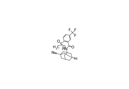 CS(=O)(=O)c1ccc(C(F)(F)F)cc1C(=O)NC12CC3C[C@H](CC(C#N)(C3)C1)C2